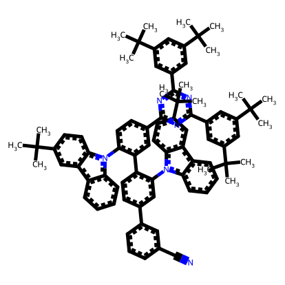 CC(C)(C)c1cc(-c2nc(-c3cc(C(C)(C)C)cc(C(C)(C)C)c3)nc(-c3ccc(-n4c5ccccc5c5cc(C(C)(C)C)ccc54)c(-c4ccc(-c5cccc(C#N)c5)cc4-n4c5ccccc5c5cc(C(C)(C)C)ccc54)c3)n2)cc(C(C)(C)C)c1